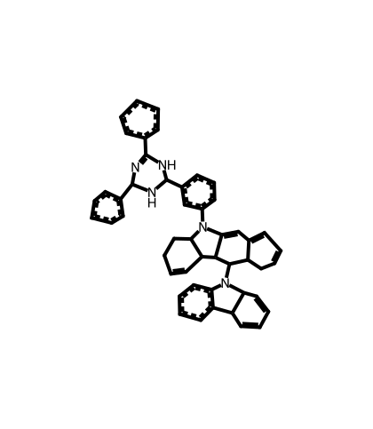 C1=CCC2C(=C1)C=C1C(C3C=CCCC3N1c1cccc(C3NC(c4ccccc4)=NC(c4ccccc4)N3)c1)C2N1c2ccccc2C2C=CC=CC21